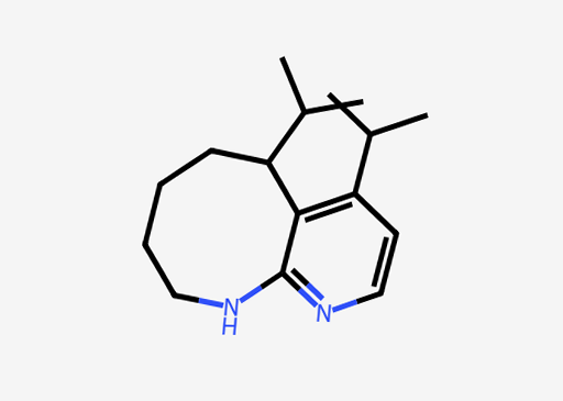 CC(C)c1ccnc2c1C(C(C)C)CCCCN2